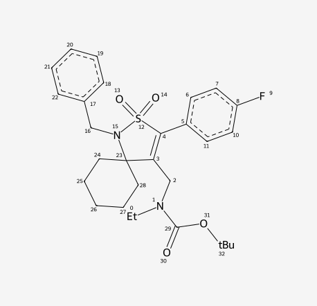 CCN(CC1=C(c2ccc(F)cc2)S(=O)(=O)N(Cc2ccccc2)C12CCCCC2)C(=O)OC(C)(C)C